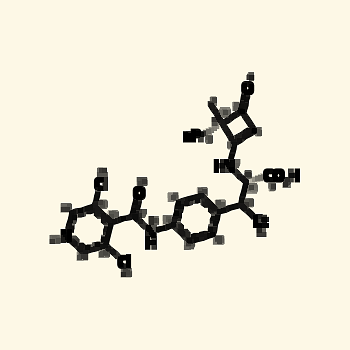 CCC[C@]1(C)C(=O)C=C1N[C@H](C(=O)O)C(CC)c1ccc(NC(=O)c2c(Cl)cncc2Cl)cc1